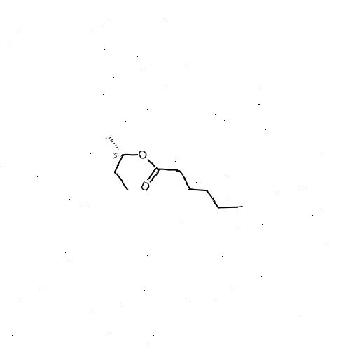 [CH2][C@@H](CC)OC(=O)CCCCC